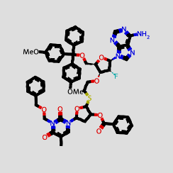 COc1ccc(C(OC[C@H]2O[C@@H](n3cnc4c(N)ncnc43)[C@H](F)[C@@H]2OCCSC2OC(n3cc(C)c(=O)n(COCc4ccccc4)c3=O)CC2OC(=O)c2ccccc2)(c2ccccc2)c2ccc(OC)cc2)cc1